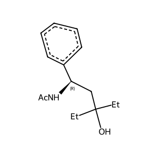 CCC(O)(CC)C[C@@H](NC(C)=O)c1ccccc1